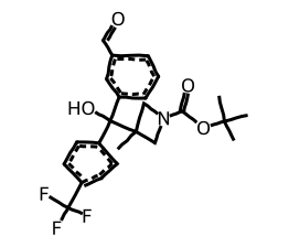 CC(C)(C)OC(=O)N1CC(C)(C(O)(c2ccc(C(F)(F)F)cc2)c2cccc(C=O)c2)C1